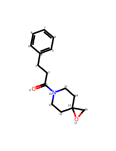 O=C(CCc1ccccc1)N1CCC2(CC1)CO2